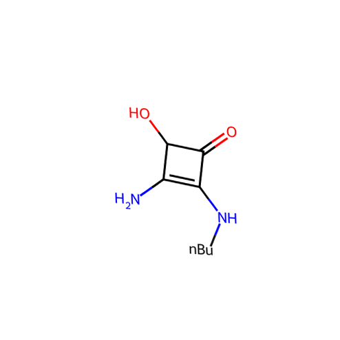 CCCCNC1=C(N)C(O)C1=O